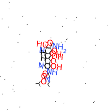 CCCN(CC(=O)Nc1cc(N(C)C)c2c(c1O)C(=O)C1=C(O)[C@]3(O)C(=O)C(C(N)=O)=C(O)[C@@H](N(C)C)[C@@H]3C[C@@H]1C2)C(=O)OCC(C)C